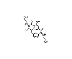 CCCc1cc2c3c(c(CCC)cc4c3c1C(=O)N(NCCO)C4=O)C(=O)N(NCCO)C2=O